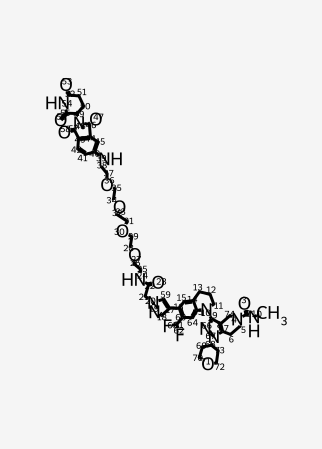 CNC(=O)N1CCc2c(c(N3CCCc4cc(-c5cnn(CC(=O)NCCOCCOCCOCCOCCNc6ccc7c(c6)C(=O)N(C6CCC(=O)NC6=O)C7=O)c5)c(C(F)F)cc43)nn2C2CCOCC2)C1